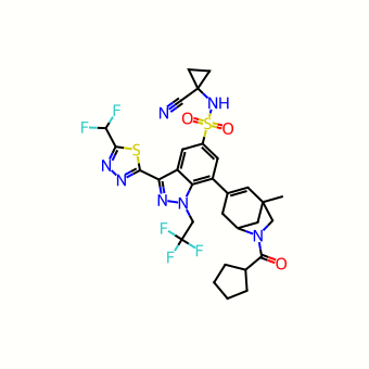 CC12C=C(c3cc(S(=O)(=O)NC4(C#N)CC4)cc4c(-c5nnc(C(F)F)s5)nn(CC(F)(F)F)c34)CC(C1)N(C(=O)C1CCCC1)C2